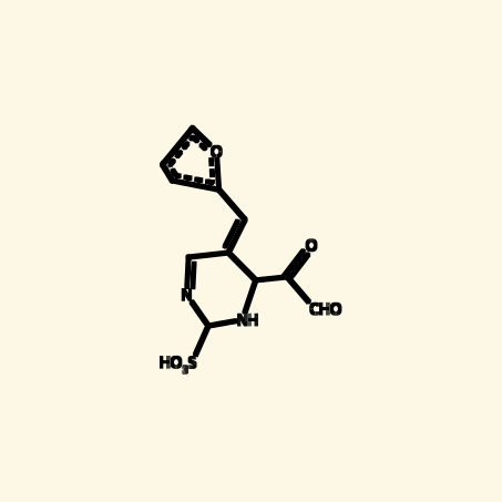 O=CC(=O)C1NC(S(=O)(=O)O)N=CC1=Cc1ccco1